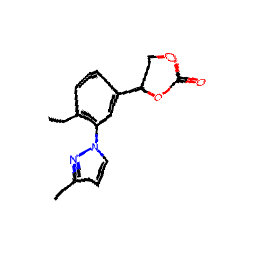 Cc1ccn(-c2cc(C3COC(=O)O3)ccc2C)n1